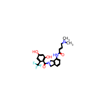 CN(C)C/C=C/C(=O)Nc1cccc2c1CN(C(=O)c1c(O)cc(O)cc1C(F)(F)F)C2